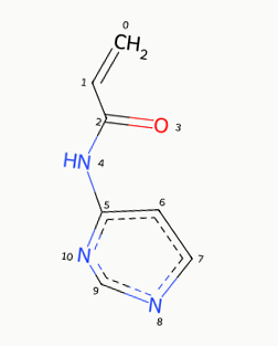 C=CC(=O)Nc1ccncn1